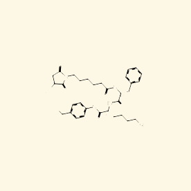 CCc1ccc(NC(=O)[C@H](CCCCN)NC(=O)[C@H](Cc2ccccc2)NC(=O)CCCCCN2C(=O)CC(C)C2=O)cc1